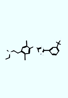 CCN(C)CCc1cc(C)c(Oc2nc(-c3cccc(C(F)(F)F)c3)ns2)cc1C